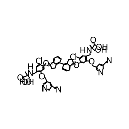 CC(CO)(NCc1cc(Cl)c(O[C@H]2CCc3c(-c4cccc5c4CC[C@@H]5Oc4cc(OCc5cncc(C#N)c5)c(CNC(C)(CO)C(=O)O)cc4Cl)cccc32)cc1OCc1cncc(C#N)c1)C(=O)O